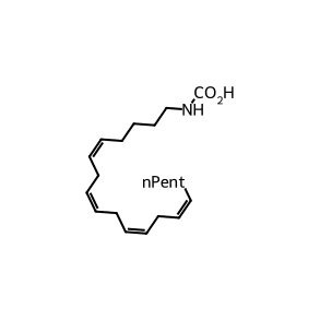 CCCCC/C=C\C/C=C\C/C=C\C/C=C\CCCCNC(=O)O